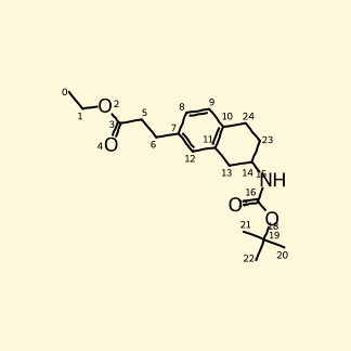 CCOC(=O)CCc1ccc2c(c1)CC(NC(=O)OC(C)(C)C)CC2